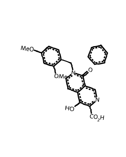 COc1ccc(Cn2ccc3c(O)c(C(=O)O)ncc3c2=O)c(OC)c1.c1ccccc1